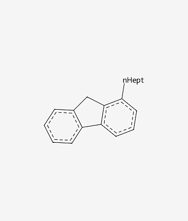 CCCCCCCc1cccc2c1Cc1ccccc1-2